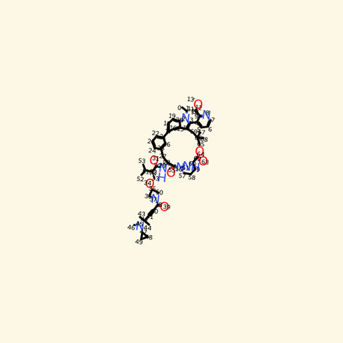 CCn1c(-c2cccnc2[C@H](C)OC)c2c3cc(ccc31)-c1cccc(c1)C[C@H](NC(=O)[C@@H](COC1CN(C(=O)C#CC(C)(C)N(C)C3CC3)C1)C(C)C)C(=O)N1CCCC(N1)C(=O)OCC(C)(C)C2